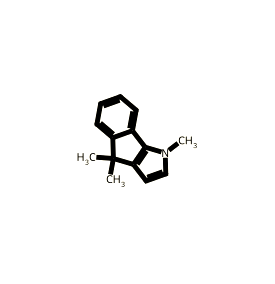 Cn1ccc2c1-c1ccccc1C2(C)C